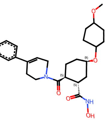 COC1CCC(O[C@@H]2CC[C@H](C(=O)N3CC=C(c4ccccc4)CC3)[C@@H](C(=O)NO)C2)CC1